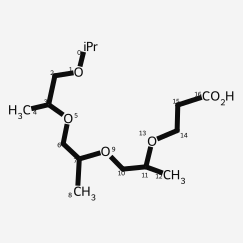 CC(C)OCC(C)OCC(C)OCC(C)OCCC(=O)O